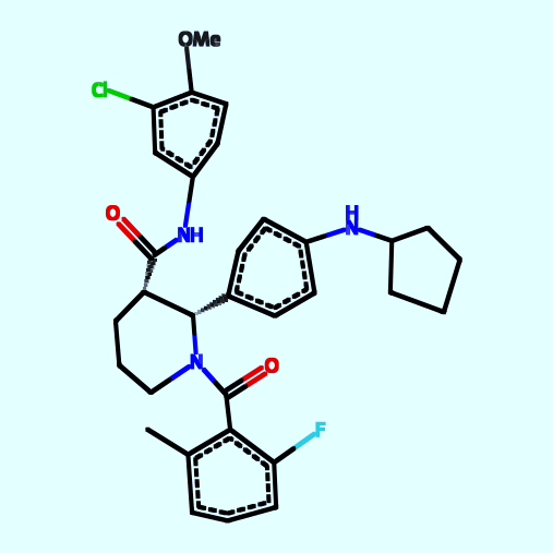 COc1ccc(NC(=O)[C@H]2CCCN(C(=O)c3c(C)cccc3F)[C@H]2c2ccc(NC3CCCC3)cc2)cc1Cl